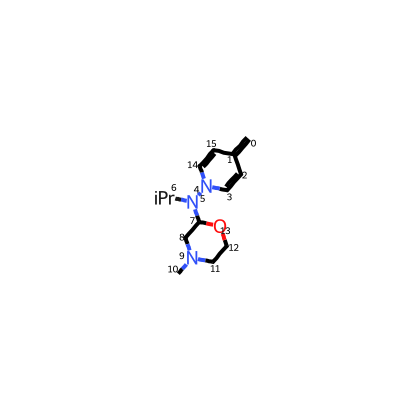 C=C1C=CN(N(C(C)C)C2CN(C)CCO2)C=C1